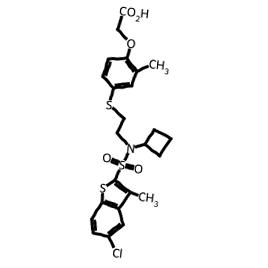 Cc1cc(SCCN(C2CCC2)S(=O)(=O)c2sc3ccc(Cl)cc3c2C)ccc1OCC(=O)O